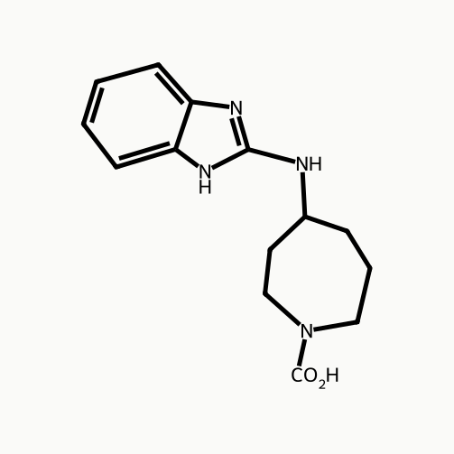 O=C(O)N1CCCC(Nc2nc3ccccc3[nH]2)CC1